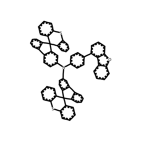 c1ccc2c(c1)Sc1ccccc1C21c2ccccc2-c2cc(N(c3ccc(-c4cccc5oc6ccccc6c45)cc3)c3ccc4c(c3)C3(c5ccccc5Sc5ccccc53)c3ccccc3-4)ccc21